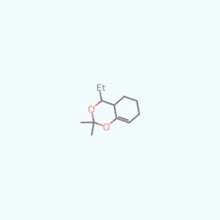 CCC1OC(C)(C)OC2=CCCCC21